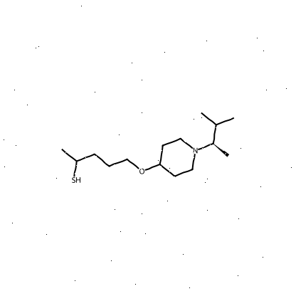 CC(S)CCCOC1CCN([C@H](C)C(C)C)CC1